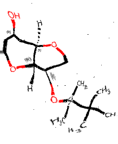 CC(C)(C)[Si](C)(C)O[C@@H]1CO[C@H]2[C@H]1OC[C@H]2O